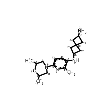 Cc1nc(N2CC(C)OC(C(F)(F)F)C2)ccc1NC1CC2(CC(N)C2)C1